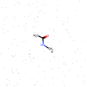 CNC(C)=O.[Li]